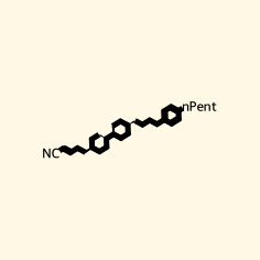 CCCCCc1ccc(CCCC[C@H]2CC[C@H]([C@H]3CC[C@H](CCC=CC#N)CC3)CC2)cc1